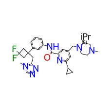 CC(C)[C@H]1CN(C)CCN1Cc1cc(C(=O)Nc2cccc(C3(Cc4nncn4C)CC(F)(F)C3)c2)nc(C2CC2)c1